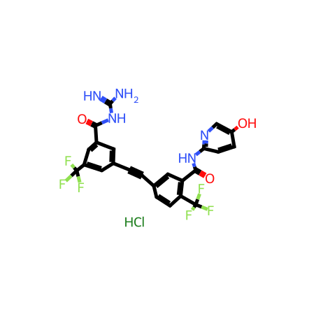 Cl.N=C(N)NC(=O)c1cc(C#Cc2ccc(C(F)(F)F)c(C(=O)Nc3ccc(O)cn3)c2)cc(C(F)(F)F)c1